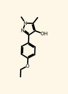 CCOc1ccc(-c2nn(C)c(C)c2O)cc1